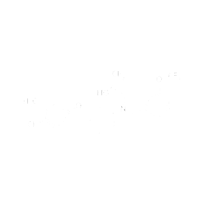 Cc1cc(OC2CCCC(N(Cc3cccc(OC(F)(F)F)c3)CC(O)C(F)(F)F)C2)ccc1Cl